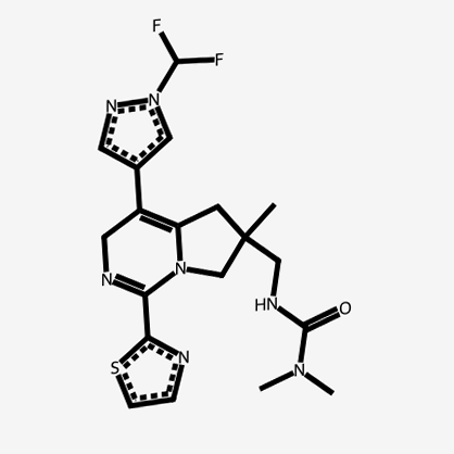 CN(C)C(=O)NCC1(C)CC2=C(c3cnn(C(F)F)c3)CN=C(c3nccs3)N2C1